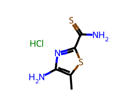 Cc1sc(C(N)=S)nc1N.Cl